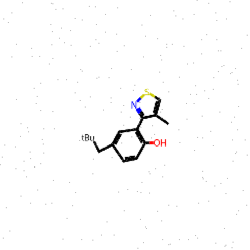 Cc1csnc1-c1cc(CC(C)(C)C)ccc1O